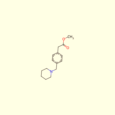 COC(=O)Cc1ccc(CN2CCCCC2)cc1